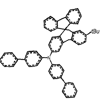 CC(C)(C)c1ccc2c(c1)C1(c3ccccc3-c3ccccc31)c1ccc(N(c3ccc(-c4ccccc4)cc3)c3ccc(-c4ccccc4)cc3)cc1-2